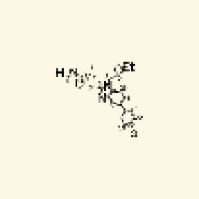 CCOCCn1c(CC[C@@H](C)C(N)=O)nc2cc(-c3ccc(C)cc3)ccc21